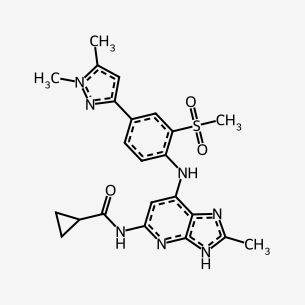 Cc1nc2c(Nc3ccc(-c4cc(C)n(C)n4)cc3S(C)(=O)=O)cc(NC(=O)C3CC3)nc2[nH]1